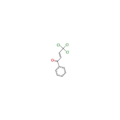 O=C(C=CC(Cl)(Cl)Cl)c1ccccc1